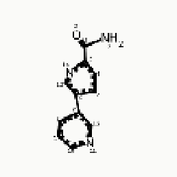 NC(=O)c1ccc(-c2cccnc2)cn1